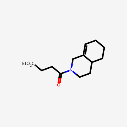 CCOC(=O)CCC(=O)N1CCC2CCCC=C2C1